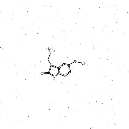 CSc1ccc2[nH]c(=O)n(CCN)c2c1